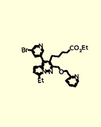 CCOC(=O)CCCCc1c(COCc2ccccn2)nn2c(CC)ccc2c1-c1cncc(Br)c1